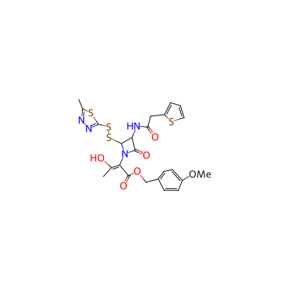 COc1ccc(COC(=O)/C(=C(\C)O)N2C(=O)C(NC(=O)Cc3cccs3)C2SSc2nnc(C)s2)cc1